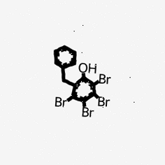 Oc1c(Br)c(Br)c(Br)c(Br)c1Cc1ccccc1